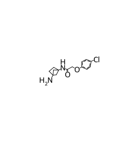 NC12CCC(NC(=O)COc3ccc(Cl)cc3)(C1)C2